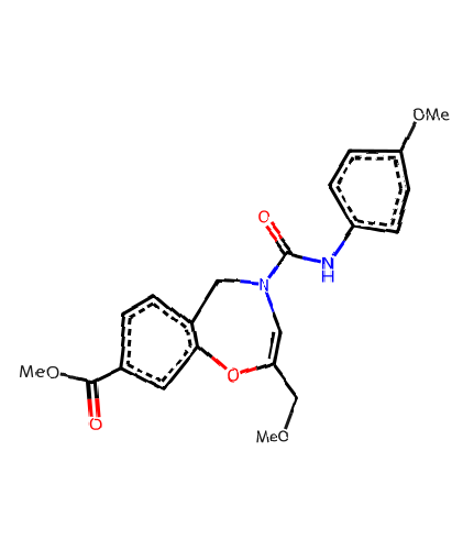 COCC1=CN(C(=O)Nc2ccc(OC)cc2)Cc2ccc(C(=O)OC)cc2O1